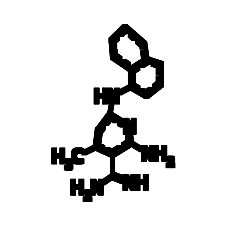 Cc1cc(Nc2cccc3ccccc23)nc(N)c1C(=N)N